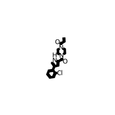 C=CC(=O)N1CCN(C(=O)c2cc(-c3ccccc3Cl)c[nH]2)CC1